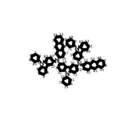 c1ccc(-n2c3ccccc3c3cc(N(c4ccc5cc6ccccc6cc5c4)c4ccc5c(c4)c4cc(N(c6ccc7cc8ccccc8cc7c6)c6ccc7c(c6)c6ccccc6n7-c6ccccc6)ccc4n5-c4ccccc4)ccc32)cc1